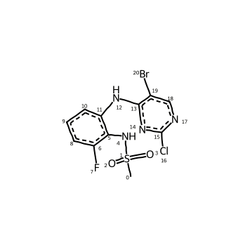 CS(=O)(=O)Nc1c(F)cccc1Nc1nc(Cl)ncc1Br